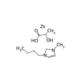 CC(O)C(=O)O.CCCCN1C=CN(C)C1.[Zn]